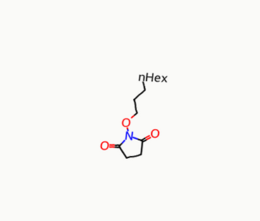 CCCCCCCCCON1C(=O)CCC1=O